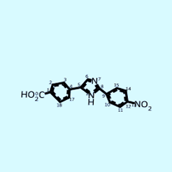 O=C(O)c1ccc(-c2cnc(-c3ccc([N+](=O)[O-])cc3)[nH]2)cc1